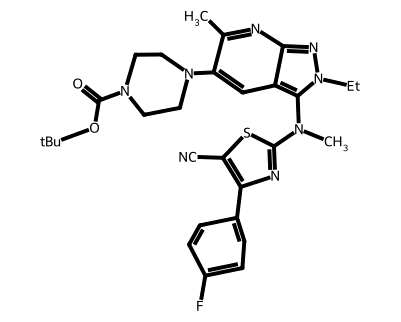 CCn1nc2nc(C)c(N3CCN(C(=O)OC(C)(C)C)CC3)cc2c1N(C)c1nc(-c2ccc(F)cc2)c(C#N)s1